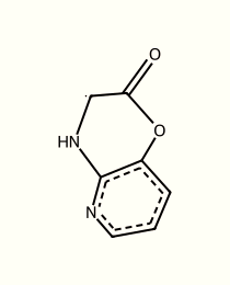 O=C1[CH]Nc2ncccc2O1